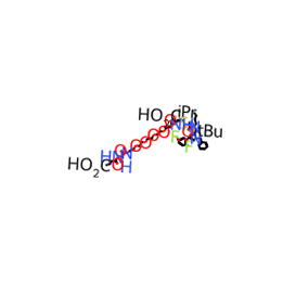 CC(C)CCCN(C(=O)CSC[C@H](NC(=O)CCOCCOCCOCCOCCNC(=O)CNC(=O)CCC(=O)O)C(=O)O)[C@@H](c1cc(-c2cc(F)ccc2F)cn1Cc1ccccc1)C(C)(C)C